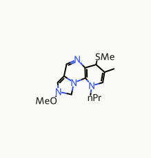 CCCN1C=C(C)C(SC)C2=C1N1CN(OC)C=C1C=N2